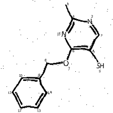 Cc1ncc(S)c(OCc2ccccc2)n1